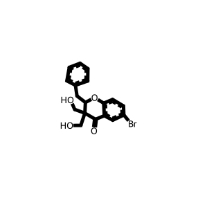 O=C1c2cc(Br)ccc2OC(Cc2ccccc2)C1(CO)CO